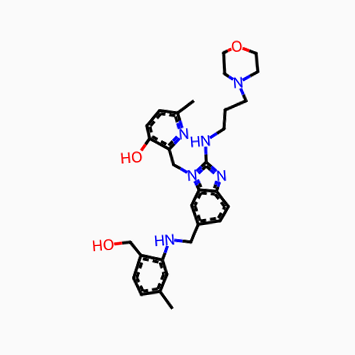 Cc1ccc(CO)c(NCc2ccc3nc(NCCCN4CCOCC4)n(Cc4nc(C)ccc4O)c3c2)c1